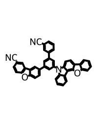 N#Cc1cccc(-c2cc(-c3ccc4oc5ccc(C#N)cc5c4c3)cc(-n3c4ccccc4c4c5oc6ccccc6c5ccc43)c2)c1